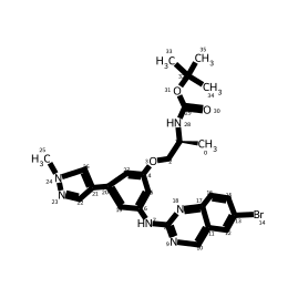 C[C@@H](COc1cc(Nc2ncc3cc(Br)ccc3n2)cc(-c2cnn(C)c2)c1)NC(=O)OC(C)(C)C